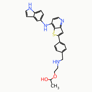 CC(O)OCCNCc1ccc(-c2cc3nccc(Nc4ccc5[nH]ccc5c4)c3s2)cc1